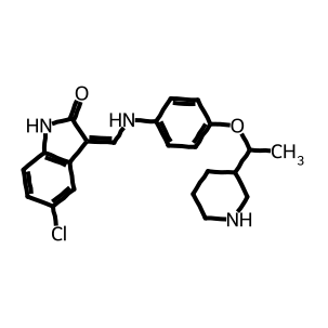 CC(Oc1ccc(NC=C2C(=O)Nc3ccc(Cl)cc32)cc1)C1CCCNC1